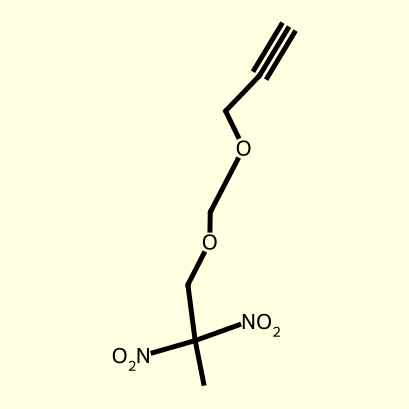 C#CCOCOCC(C)([N+](=O)[O-])[N+](=O)[O-]